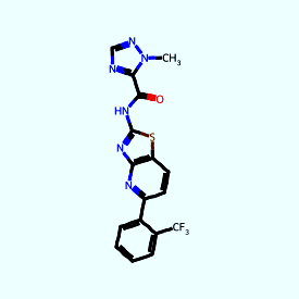 Cn1ncnc1C(=O)Nc1nc2nc(-c3ccccc3C(F)(F)F)ccc2s1